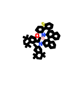 Cc1cc2c(cc1N1c3cc4ccccc4c4c3B(c3oc5cc6c(cc5c31)C(C)(C)CCC6(C)C)N(c1cccc3sc5ccccc5c13)c1ccc3ccccc3c1-4)C(C)(C)CCC2(C)C